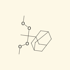 COOC(C)(OOC)C12CC3CC(CC(C3)C1)C2